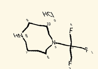 Cl.FC(F)(F)N1CCNCC1